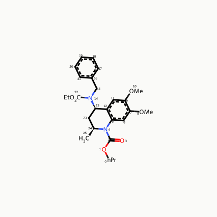 CCCOC(=O)N1c2cc(OC)c(OC)cc2[C@H](N(Cc2ccccc2)C(=O)OCC)C[C@@H]1C